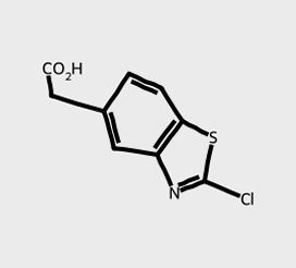 O=C(O)Cc1ccc2sc(Cl)nc2c1